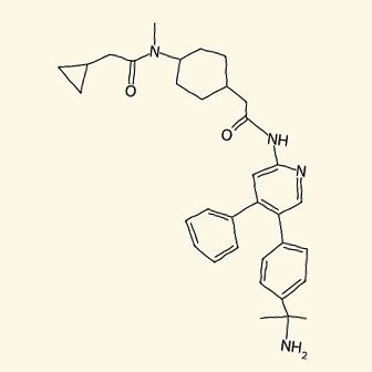 CN(C(=O)CC1CC1)C1CCC(CC(=O)Nc2cc(-c3ccccc3)c(-c3ccc(C(C)(C)N)cc3)cn2)CC1